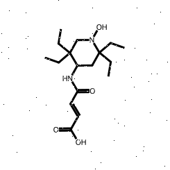 CCC1(CC)CN(O)C(CC)(CC)CC1NC(=O)C=CC(=O)O